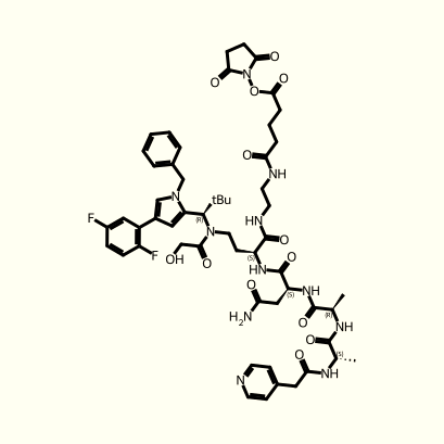 C[C@H](NC(=O)Cc1ccncc1)C(=O)N[C@H](C)C(=O)N[C@@H](CC(N)=O)C(=O)N[C@@H](CCN(C(=O)CO)[C@@H](c1cc(-c2cc(F)ccc2F)cn1Cc1ccccc1)C(C)(C)C)C(=O)NCCNC(=O)CCCC(=O)ON1C(=O)CCC1=O